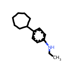 CCNc1ccc(C2CCCCCC2)cc1